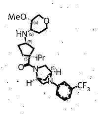 CO[C@@H]1COCC[C@@H]1N[C@@H]1CC[C@@](C(=O)N2C[C@@H]3C[C@H]2CN3c2cccc(C(F)(F)F)c2)(C(C)C)C1